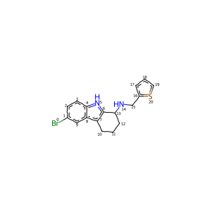 Brc1ccc2[nH]c3c(c2c1)CCCC3NCc1cccs1